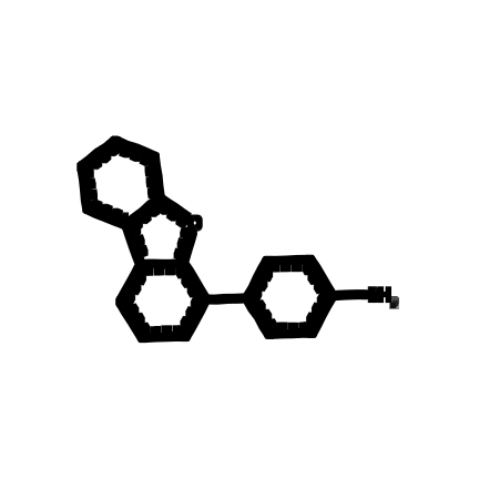 Bc1ccc(-c2cccc3c2oc2ccccc23)cc1